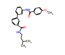 COc1ccc(C(=O)Nc2cccc(-c3cccc(C(=O)NCCC(C)C)c3)c2)cc1